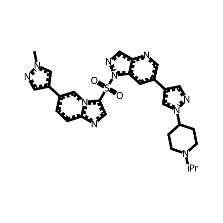 CC(C)N1CCC(n2cc(-c3cnc4cnn(S(=O)(=O)c5cnc6ccc(-c7cnn(C)c7)cn56)c4c3)cn2)CC1